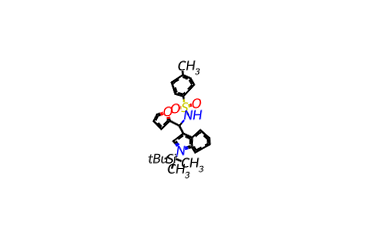 Cc1ccc(S(=O)(=O)NC(c2ccco2)c2cn([Si](C)(C)C(C)(C)C)c3ccccc23)cc1